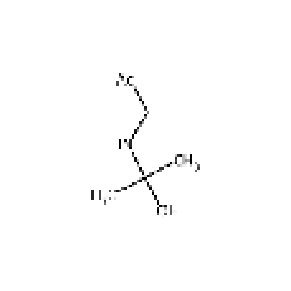 CC(=O)CNC(C)(C)O